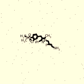 Cc1c(Cc2ccc(S(=O)(=O)N(C)C)c(Cl)c2)c(C(C)C)nn1CC(F)=CCN